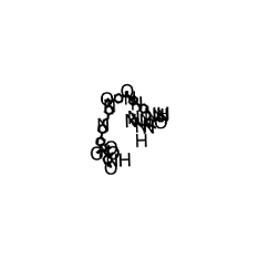 Cc1nc(Nc2cnn(C)c2)nc(NC2CCC(N3CCN(C(=O)C4CCC(C(=O)N5CCC(CCN6CCC(c7ccc8c(c7)C(=O)N(C7CCC(=O)NC7=O)C8=O)CC6)CC5)CC4)CC3)CC2)c1-c1nnco1